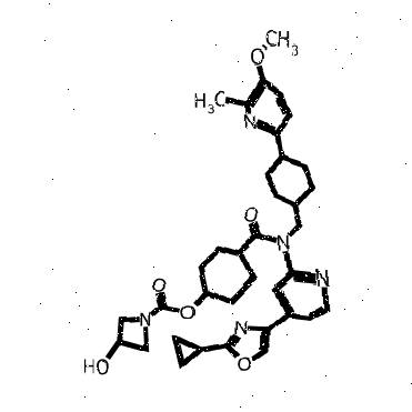 COc1ccc(C2CCC(CN(C(=O)C3CCC(OC(=O)N4CC(O)C4)CC3)c3cc(-c4coc(C5CC5)n4)ccn3)CC2)nc1C